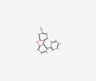 Clc1ccc2c(c1)oc1cccc(-c3ccccc3)c12